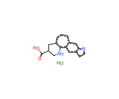 Cl.O=C(O)C1CNc2c(cccc3cc4nccc4cc23)C1